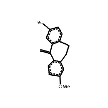 C=C1c2ccc(OC)cc2CCc2ccc(Br)cc21